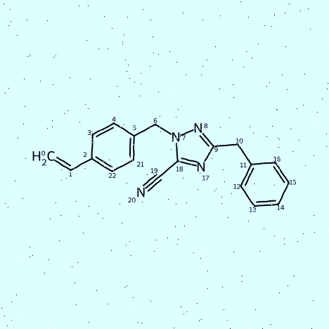 C=Cc1ccc(Cn2nc(Cc3ccccc3)nc2C#N)cc1